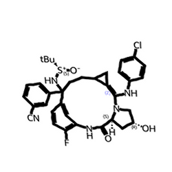 CC(C)(C)[S@@+]([O-])NC1(c2cccc(C#N)c2)CCC2C/C2=C(\Nc2ccc(Cl)cc2)N2C[C@H](O)C[C@H]2C(=O)Nc2cc1ccc2F